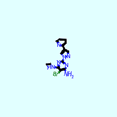 CCNc1nc(-n2cc(-c3ccccn3)cn2)nc(N)c1Br